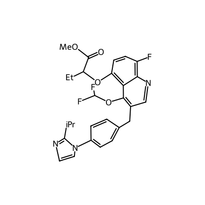 CCC(Oc1ccc(F)c2ncc(Cc3ccc(-n4ccnc4C(C)C)cc3)c(OC(F)F)c12)C(=O)OC